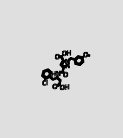 COc1cccc(Cn2nc(C(=O)NC(CC(=O)O)Cc3ccccc3Cl)cc2C(=O)O)c1